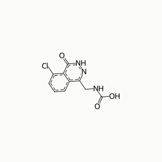 O=C(O)NCc1n[nH]c(=O)c2c(Cl)cccc12